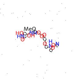 COc1cc(OCCOC(=O)c2ccc(COc3cccc([C@@H](NC(=O)OC4CN5CCC4CC5)c4ccccc4)c3)cc2)ccc1CNCC(O)c1ccc(O)c2[nH]c(=O)ccc12